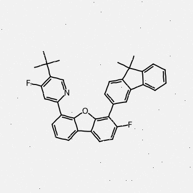 CC(C)(C)c1cnc(-c2cccc3c2oc2c(-c4ccc5c(c4)-c4ccccc4C5(C)C)c(F)ccc23)cc1F